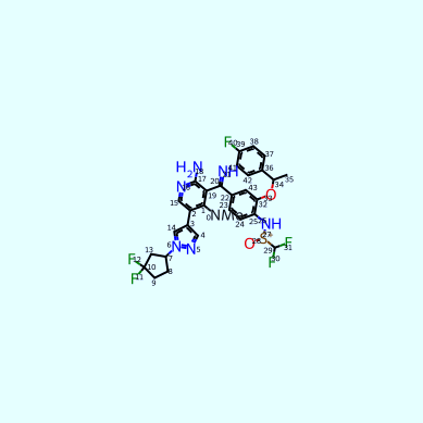 CNc1c(-c2cnn(C3CCC(F)(F)C3)c2)cnc(N)c1C(=N)c1ccc(N[S+]([O-])C(F)F)c(OC(C)c2ccc(F)cc2)c1